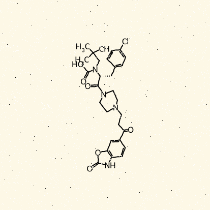 CC(C)(C)CN(C(=O)O)[C@H](Cc1ccc(Cl)cc1)C(=O)N1CCN(CCC(=O)c2ccc3[nH]c(=O)oc3c2)CC1